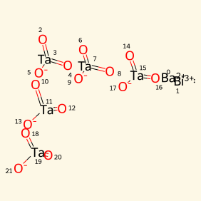 [Ba+2].[Bi+3].[O]=[Ta](=[O])[O-].[O]=[Ta](=[O])[O-].[O]=[Ta](=[O])[O-].[O]=[Ta](=[O])[O-].[O]=[Ta](=[O])[O-]